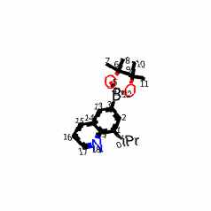 CC(C)c1cc(B2OC(C)(C)C(C)(C)O2)cc2cccnc12